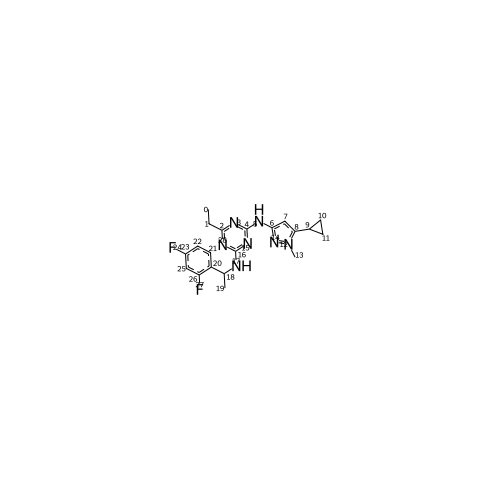 CCc1nc(Nc2cc(C3CC3)n(C)n2)nc(NC(C)c2ccc(F)cc2F)n1